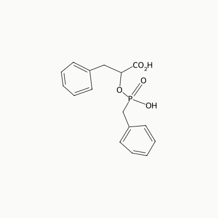 O=C(O)C(Cc1ccccc1)OP(=O)(O)Cc1ccccc1